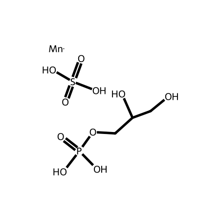 O=P(O)(O)OCC(O)CO.O=S(=O)(O)O.[Mn]